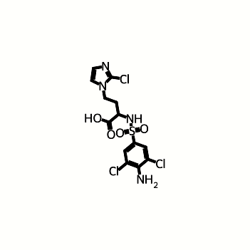 Nc1c(Cl)cc(S(=O)(=O)NC(CCn2ccnc2Cl)C(=O)O)cc1Cl